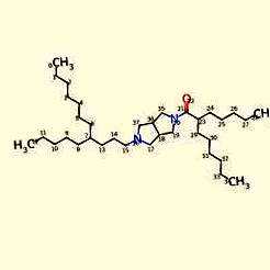 CCCCCCCC(CCCCC)CCCN1CC2CN(C(=O)C(CCCCC)CCCCCC)CC2C1